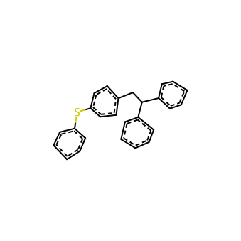 c1ccc(Sc2ccc(CC(c3ccccc3)c3ccccc3)cc2)cc1